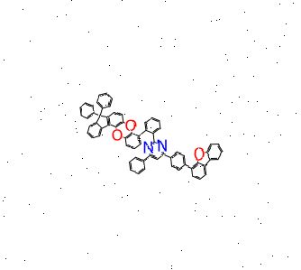 c1ccc(-c2cc(-c3ccc(-c4cccc5c4oc4ccccc45)cc3)nc(-c3ccccc3-c3cccc4c3Oc3ccc5c(c3O4)-c3ccccc3C5(c3ccccc3)c3ccccc3)n2)cc1